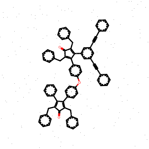 O=C1C(Cc2ccccc2)=C(c2ccccc2)C(c2ccc(Oc3ccc(C4=C(Cc5ccccc5)C(=O)C(Cc5ccccc5)=C4c4cc(C#Cc5ccccc5)cc(C#Cc5ccccc5)c4)cc3)cc2)=C1Cc1ccccc1